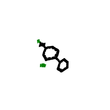 Br.[F][Mg][c]1ccc(-c2ccccc2)cc1